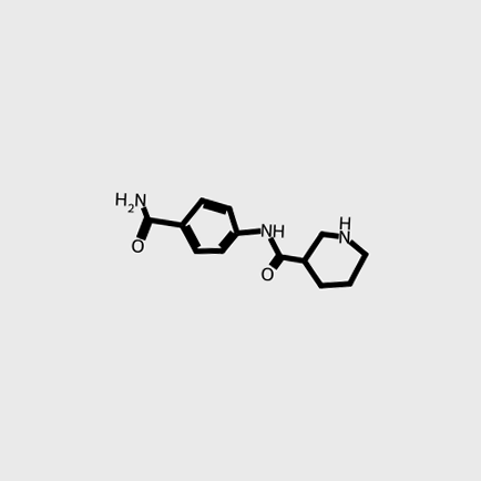 NC(=O)c1ccc(NC(=O)C2CCCNC2)cc1